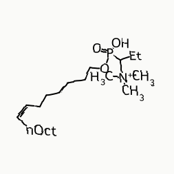 CCCCCCCC/C=C\CCCCCCOP(=O)(O)C(CC)[N+](C)(C)C